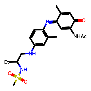 CCC(CNc1ccc(N=C2C=C(NC(C)=O)C(=O)C=C2C)c(C)c1)NS(C)(=O)=O